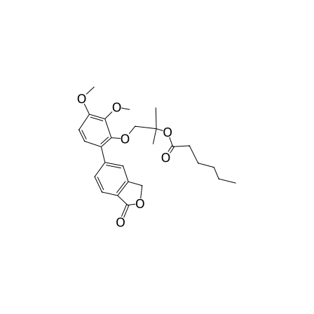 CCCCCC(=O)OC(C)(C)COc1c(-c2ccc3c(c2)COC3=O)ccc(OC)c1OC